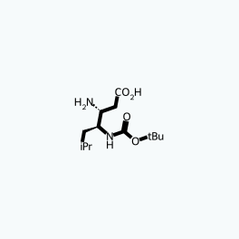 CC(C)C[C@H](NC(=O)OC(C)(C)C)[C@H](N)CC(=O)O